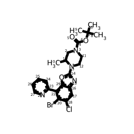 CC1CN(C(=O)OC(C)(C)C)CCN1c1nc2cc(Cl)c(Br)c(-c3ccccn3)c2o1